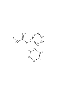 COC(=O)Cc1cccnc1C1CCCCO1